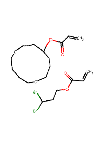 C=CC(=O)OC1CCCCCCCCCCC1.C=CC(=O)OCCC(Br)Br